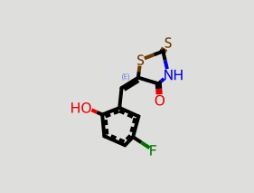 O=C1NC(=S)S/C1=C/c1cc(F)ccc1O